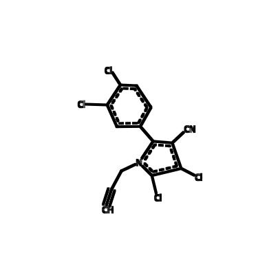 C#CCn1c(Cl)c(Cl)c(C#N)c1-c1ccc(Cl)c(Cl)c1